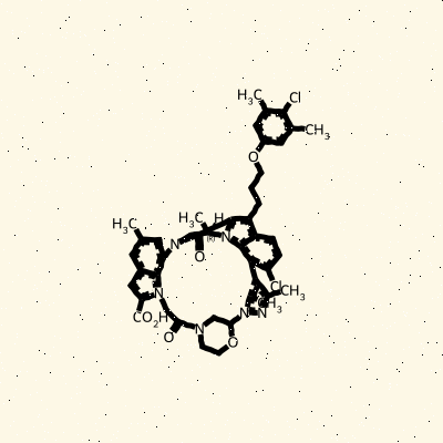 Cc1cc2c3c(c1)cc(C(=O)O)n3CC(=O)N1CCOC(C1)n1nc(C)c(c1C)-c1c(Cl)ccc3c(CCCOc4cc(C)c(Cl)c(C)c4)c4n(c13)[C@H](C)CN2C4=O